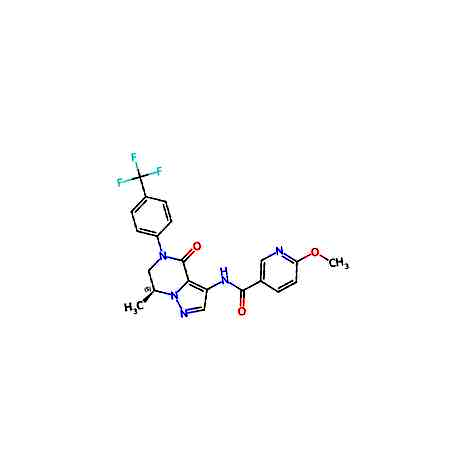 COc1ccc(C(=O)Nc2cnn3c2C(=O)N(c2ccc(C(F)(F)F)cc2)C[C@@H]3C)cn1